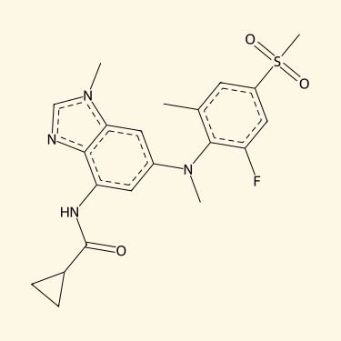 Cc1cc(S(C)(=O)=O)cc(F)c1N(C)c1cc(NC(=O)C2CC2)c2ncn(C)c2c1